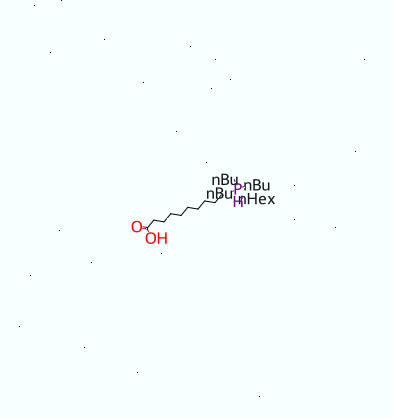 CCCCCCCCCC(=O)O.CCCCCC[PH](CCCC)(CCCC)CCCC